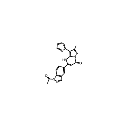 CC(=O)n1ncc2cc(-c3cc(=O)n4nc(C)c(-c5ccccn5)c4[nH]3)ccc21